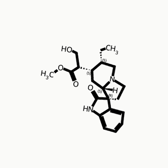 CC[C@@H]1CN2CC[C@]3(C(=O)Nc4ccccc43)[C@@H]2C[C@@H]1C(CO)C(=O)OC